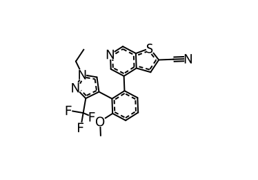 CCn1cc(-c2c(OC)cccc2-c2cncc3sc(C#N)cc23)c(C(F)(F)F)n1